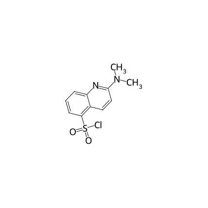 CN(C)c1ccc2c(S(=O)(=O)Cl)cccc2n1